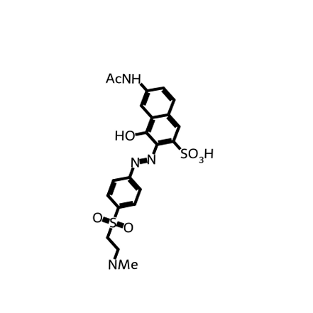 CNCCS(=O)(=O)c1ccc(/N=N/c2c(S(=O)(=O)O)cc3ccc(NC(C)=O)cc3c2O)cc1